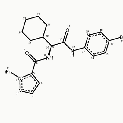 CC(C)n1nccc1C(=O)N[C@H](C(=O)Nc1ccc(Br)cn1)C1CCCCC1